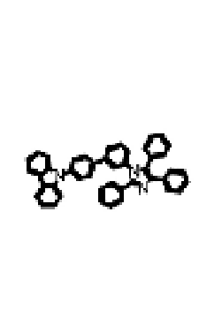 c1ccc(-c2nc(-c3ccccc3)n(-c3cccc(-c4ccc(-n5c6ccccc6c6ccccc65)cc4)c3)c2-c2ccccc2)cc1